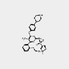 CC(C)CCc1ccccc1-c1nc(NS(=O)(=O)c2cnn(C)c2)nc(Oc2ccc(N3CCNCC3)cc2)c1C(F)(F)F